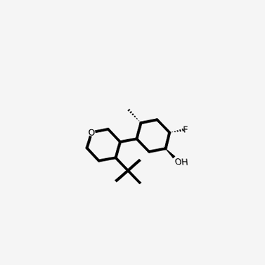 C[C@@H]1C[C@H](F)[C@@H](O)CC1C1COCCC1C(C)(C)C